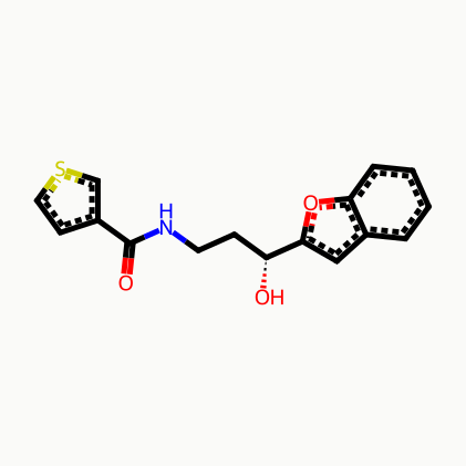 O=C(NCC[C@@H](O)c1cc2ccccc2o1)c1ccsc1